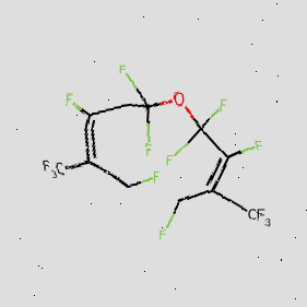 FCC(=C(F)C(F)(F)OC(F)(F)C(F)=C(CF)C(F)(F)F)C(F)(F)F